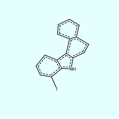 Ic1cccc2c1[nH]c1ccc3ccccc3c12